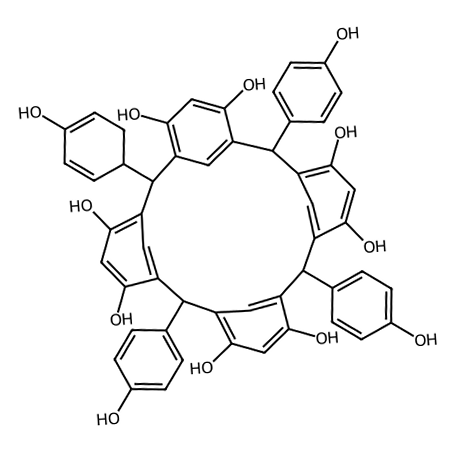 OC1=CCC(C2c3cc(c(O)cc3O)C(c3ccc(O)cc3)c3cc(c(O)cc3O)C(c3ccc(O)cc3)c3cc(c(O)cc3O)C(c3ccc(O)cc3)c3cc2c(O)cc3O)C=C1